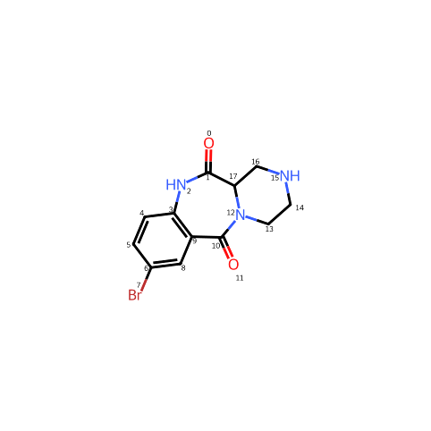 O=C1Nc2ccc(Br)cc2C(=O)N2CCNCC12